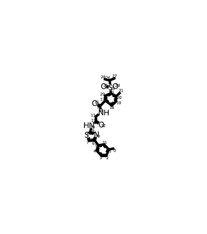 Cc1cccc(-c2csc(NC(=O)CNC(=O)c3ccc(C)c(S(=O)(=O)C(C)C)c3)n2)c1